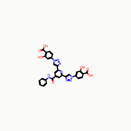 O=C(Nc1ccccc1)c1cc(-c2cn(-c3ccc(C(=O)O)c(O)c3)nn2)nc(-c2cn(-c3ccc(C(=O)O)c(O)c3)nn2)c1